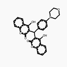 O=c1oc2ccccc2c(O)c1C(c1ccc(N2CCOCC2)cc1)c1c(O)c2ccccc2oc1=O